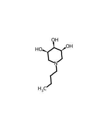 CCCCN1C[C@@H](O)[C@@H](O)[C@@H](O)C1